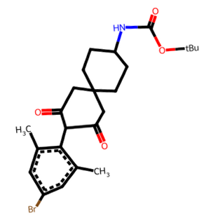 Cc1cc(Br)cc(C)c1C1C(=O)CC2(CCC(NC(=O)OC(C)(C)C)CC2)CC1=O